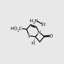 CCN.O=C(O)C1C=CN2C(=O)C[C@H]2S1